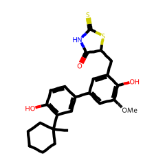 COc1cc(-c2ccc(O)c(C3(C)CCCCC3)c2)cc(CC2SC(=S)NC2=O)c1O